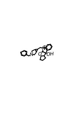 CCN(CC1C2CN(Cc3ccccc3)CC21)C(=O)[C@@](O)(c1ccccc1)C1CCCC1